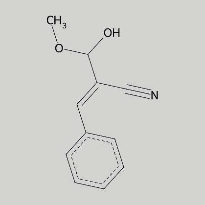 COC(O)/C(C#N)=C/c1ccccc1